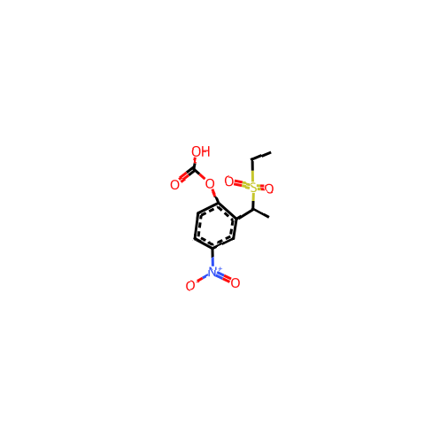 CCS(=O)(=O)C(C)c1cc([N+](=O)[O-])ccc1OC(=O)O